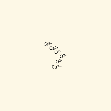 [Ca+2].[Cu+2].[O-2].[O-2].[O-2].[Sr+2]